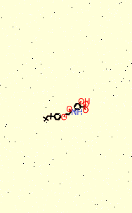 COC(=O)c1cc(NC(=O)/C=C/Oc2ccc(C(C)(C)CC(C)(C)C)cc2)ccc1O